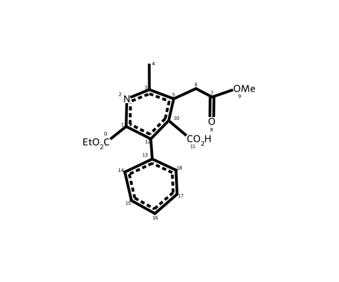 CCOC(=O)c1nc(C)c(CC(=O)OC)c(C(=O)O)c1-c1ccccc1